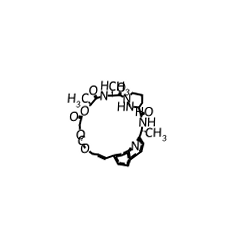 C[C@@H]1NC(=O)[C@H](C)OC(=O)COCOC/C=C/c2ccc3ccc(nc3c2)[C@@H](C)NC(=O)[C@@H]2CCCN(N2)C1=O